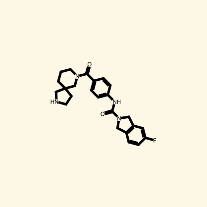 O=C(Nc1ccc(C(=O)N2CCCC3(CCNC3)C2)cc1)N1Cc2ccc(F)cc2C1